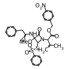 C=C(C)C(C(=O)OCc1ccc([N+](=O)[O-])cc1)N1C(=O)C(NC(=O)Cc2ccccc2)(OC)C1SS(=O)(=O)c1ccccc1